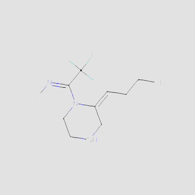 CCC/C=C1\CNCCN1/C(=N\C)C(F)(F)F